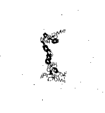 COC(=O)N[C@H](C(=O)N1C[C@@H](COC(F)F)C[C@H]1c1nc2ccc3cc4c(cc3c2[nH]1)OCc1cc(-c2cnc([C@@H]3CCCN3C(=O)[C@H](NC(=O)OC)c3ccccc3)[nH]2)ccc1-4)C(C)C